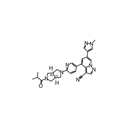 CC(C)C(=O)N1C[C@@H]2CN(c3ccc(-c4cc(-c5cnn(C)c5)cn5ncc(C#N)c45)cn3)C[C@@H]2C1